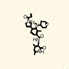 C=CC(=O)N1CC=C(c2ccc(C(=O)NCc3c(C)cc(C)[nH]c3=O)c(C)c2N(CC)C2CCOCC2)C1